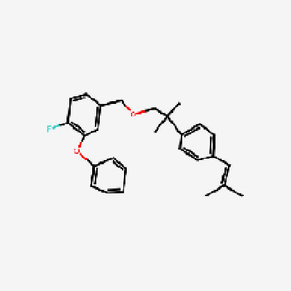 CC(C)=Cc1ccc(C(C)(C)COCc2ccc(F)c(Oc3ccccc3)c2)cc1